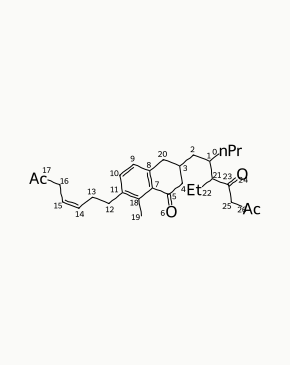 CCCC(CC1CC(=O)c2c(ccc(CC/C=C\CC(C)=O)c2C)C1)C(CC)C(=O)CC(C)=O